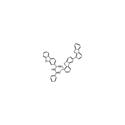 NC(N/C(=N\Cc1cccc2c1sc1ccc(-c3cccc4c3sc3ccccc34)cc12)c1ccccc1)c1ccc2c(c1)oc1ccccc12